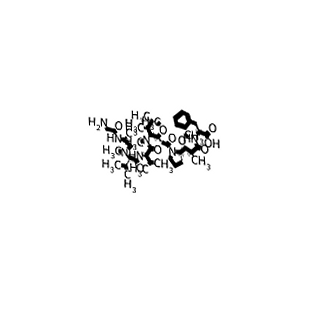 CC[C@H](C)[C@@H]([C@@H](CC(=O)N1CCC[C@H]1[C@H](OC)[C@@H](C)C(=O)N[C@@H](Cc1ccccc1)C(=O)O)OC)N(C)C(=O)[C@@H](NC(=O)[C@H](C(C)C)N(C)C[C@H](C)NC(=O)CN)C(C)C